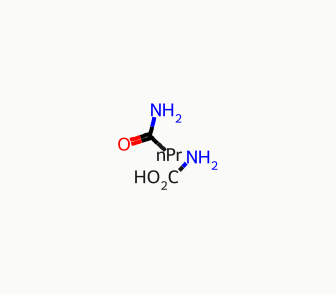 CCCC(N)=O.NC(=O)O